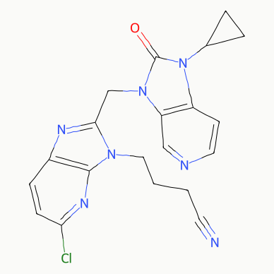 N#CCCCn1c(Cn2c(=O)n(C3CC3)c3ccncc32)nc2ccc(Cl)nc21